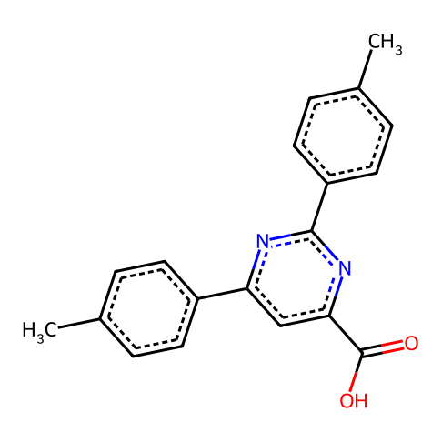 Cc1ccc(-c2cc(C(=O)O)nc(-c3ccc(C)cc3)n2)cc1